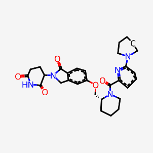 O=C1CCC(N2Cc3cc(OC[C@H]4CCCCN4C(=O)c4cccc(N5CCCCC5)n4)ccc3C2=O)C(=O)N1